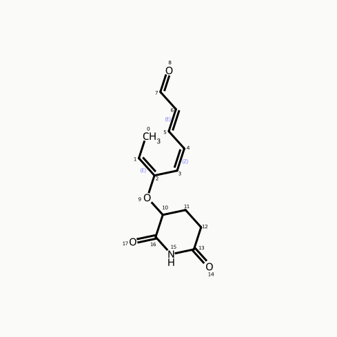 C\C=C(/C=C\C=C\C=O)OC1CCC(=O)NC1=O